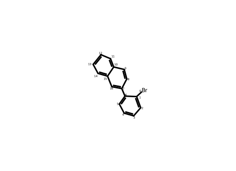 Brc1ccccc1-c1ccc2c[c]ccc2c1